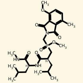 CNC(=O)[C@H](CC(C)C)NC(=O)[C@H](CC(C)C)CP(=O)(CN1C(=O)c2c(C)ccc(OC)c2C1=O)OC